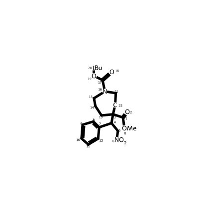 COC(=O)C1(C(C[N+](=O)[O-])c2ccccc2)CCCN(C(=O)OC(C)(C)C)CC1